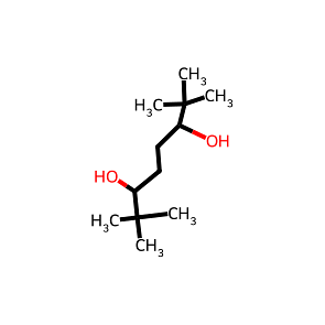 CC(C)(C)C(O)CCC(O)C(C)(C)C